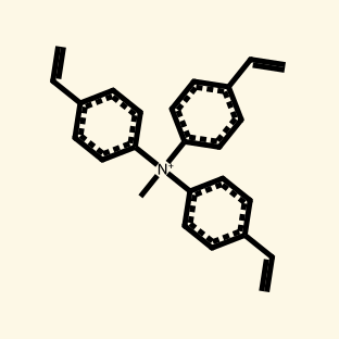 C=Cc1ccc([N+](C)(c2ccc(C=C)cc2)c2ccc(C=C)cc2)cc1